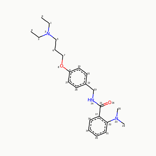 CCN(CC)CCCOc1ccc(CNC(=O)c2ccccc2N(C)C)cc1